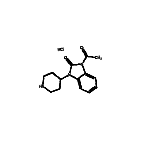 CC(=O)n1c(=O)n(C2CCNCC2)c2ccccc21.Cl